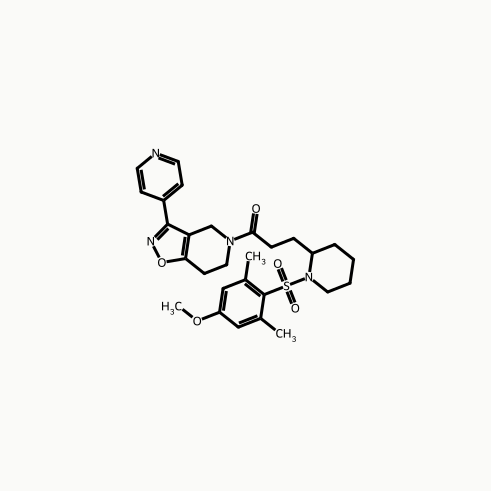 COc1cc(C)c(S(=O)(=O)N2CCCCC2CCC(=O)N2CCc3onc(-c4ccncc4)c3C2)c(C)c1